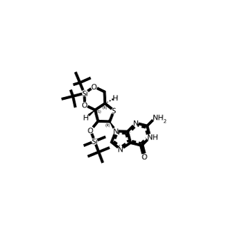 CC(C)(C)[Si](C)(C)OC1[C@H](n2cnc3c(=O)[nH]c(N)nc32)S[C@@H]2CO[Si](C(C)(C)C)(C(C)(C)C)O[C@@H]12